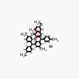 COc1ccc(C(=O)C(C)=Nc2c(C(c3ccc(C)cc3)c3ccc(C)cc3)cc(C)cc2C(c2ccc(C)cc2)c2ccc(C)cc2)cc1.[Ni]